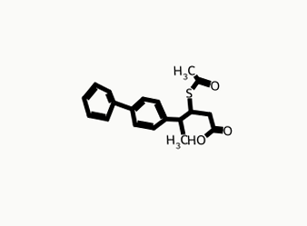 CC(=O)SC(CC(=O)O)C(C)c1ccc(-c2ccccc2)cc1